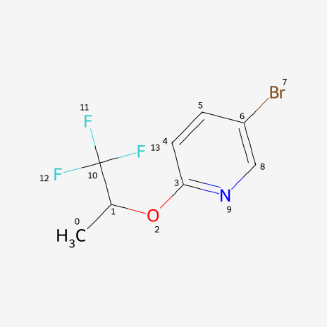 CC(Oc1ccc(Br)cn1)C(F)(F)F